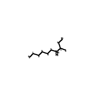 [CH2]CCCCCNC(C)CC